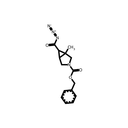 CC12CN(C(=O)OCc3ccccc3)CC1C2C(=O)N=[N+]=[N-]